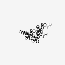 O=S(=O)([O-])OS(=O)(=O)O.O=S(=O)([O-])OS(=O)(=O)O.O=S(=O)([O-])OS(=O)(=O)O.[Na+].[Na+].[Na+]